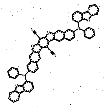 N#Cc1c2oc3cc4cc(N(c5ccccc5)c5cccc6c5oc5ccccc56)ccc4cc3c2c(C#N)c2c1oc1cc3cc(N(c4ccccc4)c4cccc5c4oc4ccccc45)ccc3cc12